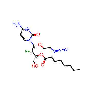 CCCCCCCC(=O)O[C@H](CO)[C@@H](F)[C@@H](OCCN=[N+]=[N-])n1ccc(N)nc1=O